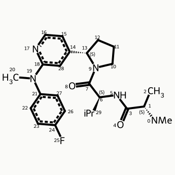 CN[C@@H](C)C(=O)N[C@H](C(=O)N1CCC[C@H]1c1ccnc(N(C)c2ccc(F)cc2)c1)C(C)C